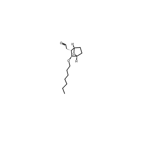 CCCCCCCO[C@H]1[C@H](CC=O)[C@@H]2CC[C@H]1O2